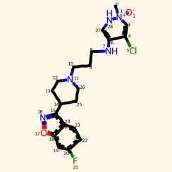 C[N+]1([O-])C=C(Cl)C(NCCCN2CCC(c3noc4cc(F)ccc34)CC2)=CN1